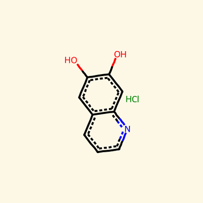 Cl.Oc1cc2cccnc2cc1O